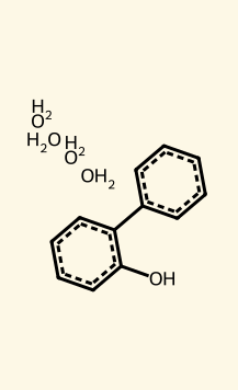 O.O.O.O.Oc1ccccc1-c1ccccc1